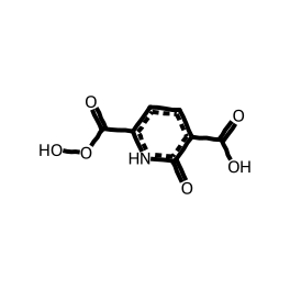 O=C(OO)c1ccc(C(=O)O)c(=O)[nH]1